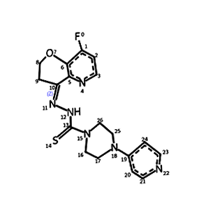 Fc1ccnc2c1OCC/C2=N/NC(=S)N1CCN(c2ccncc2)CC1